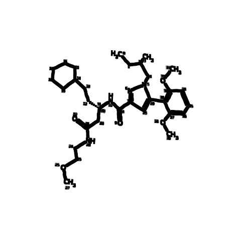 CCC(C)Cn1nc(C(=O)N[C@@H](CCC2CCCCC2)CC(=O)NCCOC)cc1-c1c(OC)cccc1OC